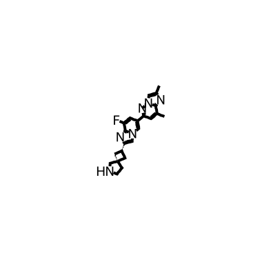 Cc1cn2nc(-c3cc(F)c4nc([C@H]5C[C@@]6(CCNC6)C5)cn4c3)cc(C)c2n1